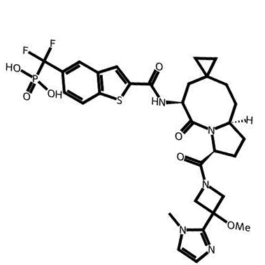 COC1(c2nccn2C)CN(C(=O)[C@@H]2CC[C@@H]3CCC4(CC4)C[C@H](NC(=O)c4cc5cc(C(F)(F)P(=O)(O)O)ccc5s4)C(=O)N32)C1